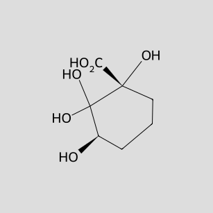 O=C(O)[C@@]1(O)CCC[C@@H](O)C1(O)O